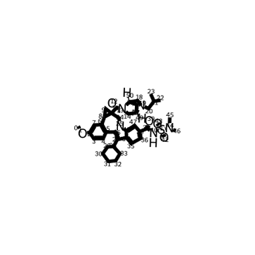 COc1ccc2c(c1)C1CC1(C(=O)N1C[C@H]3C[C@@H]1CN3CC(C)C)Cn1c-2c(C2CCCCC2)c2ccc(C(=O)NS(=O)(=O)N(C)C)cc21